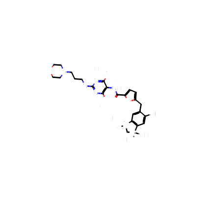 COc1nc(NCCCN2CCOCC2)nc(OC)c1NC(=O)c1ccc(Cc2cc3c(cc2C)[Si](C)(C)C[Si]3(C)C)o1